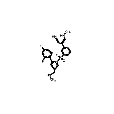 CN/C=C(\C=N)c1cccc(S(=O)(=O)n2cc(CNC)cc2-c2ccc(F)cc2F)c1